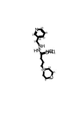 Cl.Cl.O=C(CCCN1CCOCC1)NNCc1cccnc1